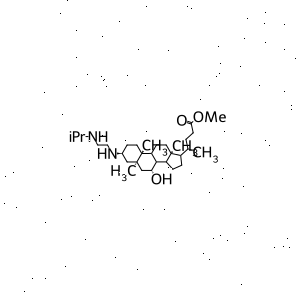 COC(=O)CC[C@@H](C)C1CCC2C3C(CC[C@@]21C)[C@@]1(C)CC[C@H](NCCNC(C)C)C[C@]1(C)C[C@H]3O